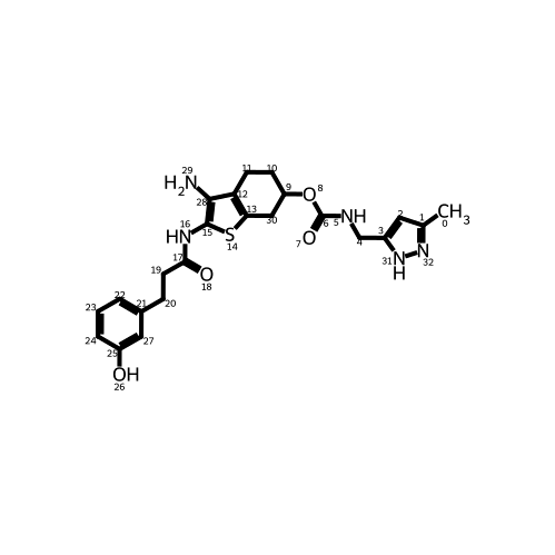 Cc1cc(CNC(=O)OC2CCc3c(sc(NC(=O)CCc4cccc(O)c4)c3N)C2)[nH]n1